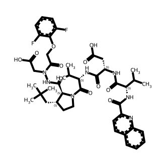 CC(C)[C@H](NC(=O)c1ccc2ccccc2n1)C(=O)N[C@@H](CC(=O)O)C(=O)N[C@H](C(=O)N1CC[C@H](CC(C)(C)C)[C@H]1C(=O)NN(CC(=O)O)C(=O)COc1c(F)cccc1F)C(C)C